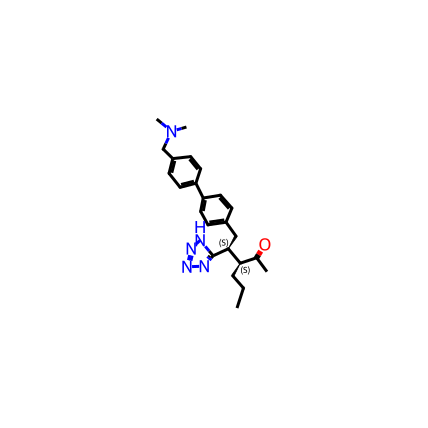 CCC[C@H](C(C)=O)[C@H](Cc1ccc(-c2ccc(CN(C)C)cc2)cc1)c1nnn[nH]1